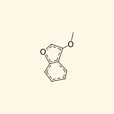 COc1coc2ccccc12